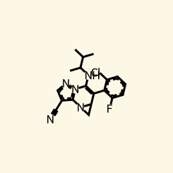 CC(C)C(C)NC1=C(c2c(F)cccc2Cl)C2CN2c2c(C#N)cnn21